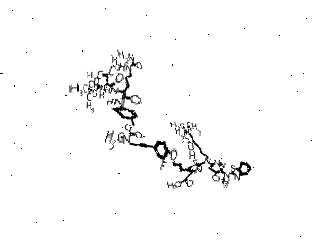 Cc1cc(N(CCCC(O)C[N+](C)(C)C)c2nc(C(=O)O)c(CCCOc3ccc(C#CCN(C)C(=O)OCc4ccc(NC(=O)C(CCCNC(N)=O)NC(=O)C(NC(=O)OC(C)(C)C)C(C)C)cc4)cc3F)s2)nnc1Nc1nc2ccccc2s1